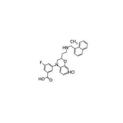 C[C@@H](NCCC1CN(c2cc(F)cc(C(=O)O)c2)c2ccccc2O1)c1cccc2ccccc12.Cl